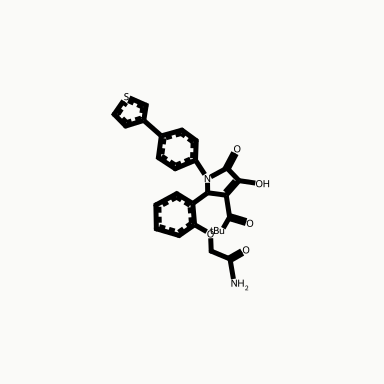 CC(C)(C)C(=O)C1=C(O)C(=O)N(c2ccc(-c3ccsc3)cc2)C1c1ccccc1OCC(N)=O